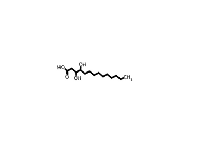 CCCCCCCCCCC(O)C(O)CC(=O)O